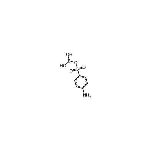 Nc1ccc(S(=O)(=O)OB(O)O)cc1